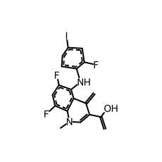 C=C(O)C1=CN(C)c2c(F)cc(F)c(Nc3ccc(I)cc3F)c2C1=C